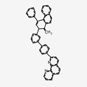 C=C1c2ccc3ccccc3c2C(c2ccccc2)=CC1c1cccc(-c2ccc(-c3ccc4ccc5cccnc5c4n3)cc2)c1